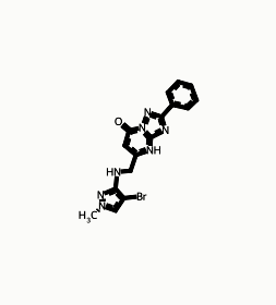 Cn1cc(Br)c(NCc2cc(=O)n3nc(-c4ccccc4)nc3[nH]2)n1